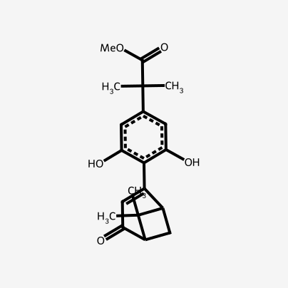 COC(=O)C(C)(C)c1cc(O)c(C2=CC(=O)C3CC2C3(C)C)c(O)c1